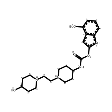 CC(C)COc1cccc2[nH]c(OC(=O)NC3CCN(CCN4CCC(O)CC4)CC3)cc12